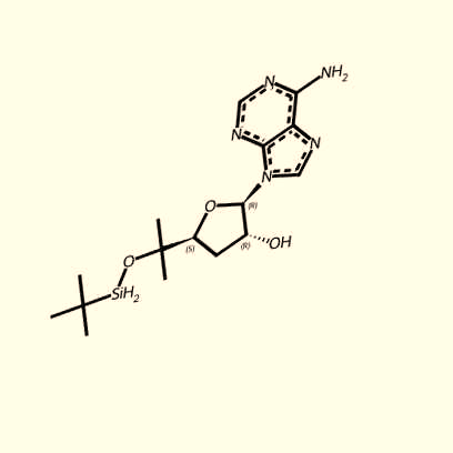 CC(C)(C)[SiH2]OC(C)(C)[C@@H]1C[C@@H](O)[C@H](n2cnc3c(N)ncnc32)O1